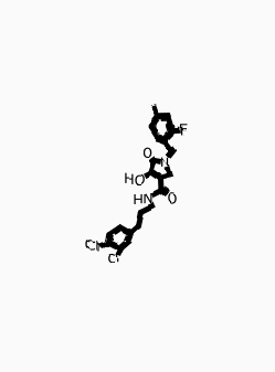 Cc1ccc(CN2CC(C(=O)NCCCc3ccc(Cl)c(Cl)c3)=C(O)C2=O)c(F)c1